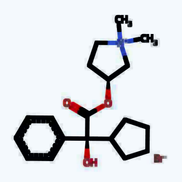 C[N+]1(C)CC[C@H](OC(=O)[C@@](O)(c2ccccc2)C2CCCC2)C1.[Br-]